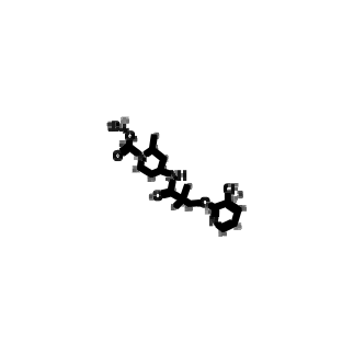 CC1CC(NC(=O)C(C)(C)COc2ncccc2C(F)(F)F)CCN1C(=O)OC(C)(C)C